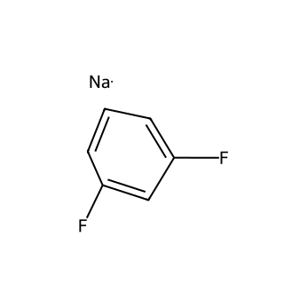 Fc1cccc(F)c1.[Na]